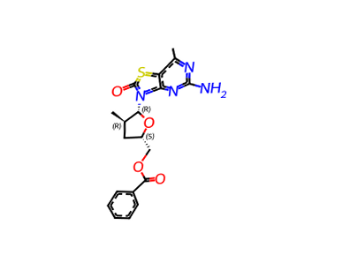 Cc1nc(N)nc2c1sc(=O)n2[C@@H]1O[C@H](COC(=O)c2ccccc2)C[C@H]1C